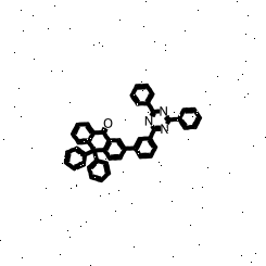 O=C1c2ccccc2C(c2ccccc2)(c2ccccc2)c2ccc(-c3cccc(-c4nc(-c5ccccc5)nc(-c5ccccc5)n4)c3)cc21